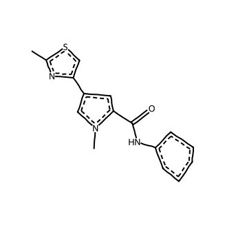 Cc1nc(-c2cc(C(=O)Nc3ccccc3)n(C)c2)cs1